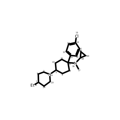 CCC1CCN(C2CCC(c3ccc(Cl)cc3)(N(C)C3CC3)CC2)CC1